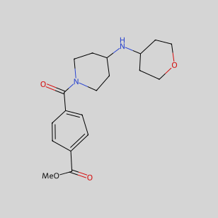 COC(=O)c1ccc(C(=O)N2CCC(NC3CCOCC3)CC2)cc1